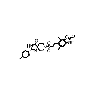 Cc1cc2[nH]c(=O)oc2c(C)c1CCS(=O)(=O)N1CCC2(CC1)N=C([C@H]1CC[C@H](C)CC1)NC2=O